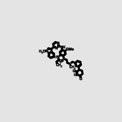 C=CC(=O)Nc1cc(Nc2nccc(-c3cn(C)c4ccccc34)n2)c(OC)cc1N(C)CCN(C)Cc1cccc(C2CCC(=O)NC2=O)c1